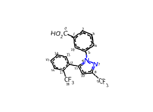 O=C(O)c1cccc(-n2nc(C(F)(F)F)cc2-c2ccccc2C(F)(F)F)c1